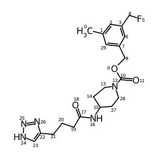 Cc1cc(CF)cc(COC(=O)N2CCC(NC(=O)CCCc3c[nH]nn3)CC2)c1